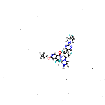 C[C@@H]1CN(c2cc(F)c(-c3cnc(N4CCC(F)(F)CC4)nc3)c(F)c2NC(=O)c2cnc(OCC[Si](C)(C)C)cc2C(F)(F)F)C[C@H](C)N1C